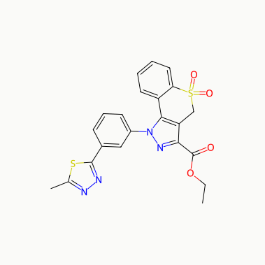 CCOC(=O)c1nn(-c2cccc(-c3nnc(C)s3)c2)c2c1CS(=O)(=O)c1ccccc1-2